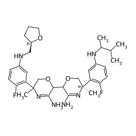 CC(C)C(C)Nc1ccc(F)c([C@]2(C)COC(C3OCC(C)(c4cc(NC[C@H]5CCCO5)ccc4F)N=C3N)C(N)=N2)c1